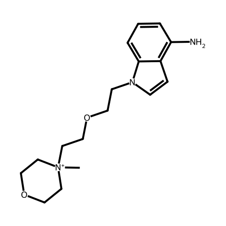 C[N+]1(CCOCCn2ccc3c(N)cccc32)CCOCC1